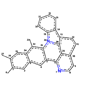 Cc1cc2cc3c4nccc5ccc6c7ccccc7n(c3c(C)c2cc1C)c6c54